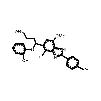 COCCC(Oc1ccccc1O)c1cc(OC)c2[nH]c(-c3ccc(C(C)C)cc3)nc2c1Br